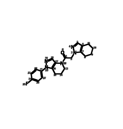 O=C(Cn1ncc2c1CCCC2)N1CCCc2c1cnn2-c1ccc(F)cc1